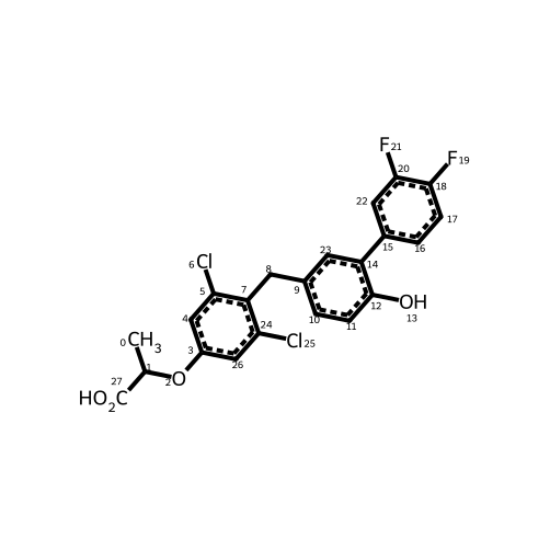 CC(Oc1cc(Cl)c(Cc2ccc(O)c(-c3ccc(F)c(F)c3)c2)c(Cl)c1)C(=O)O